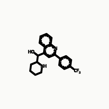 OC(c1cc(-c2ccc(C(F)(F)F)cc2)nc2ccccc12)C1CCCCN1